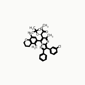 COC(=O)[C@@H](OC(C)(C)C)c1c(C)nc2c(-c3cccc(Cl)c3)c(-c3ccccc3)nn2c1-c1cc(F)c2c(c1C)CCCO2